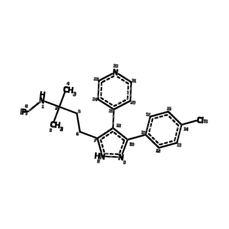 CC(C)NC(C)(C)CCc1[nH]nc(-c2ccc(Cl)cc2)c1-c1ccncc1